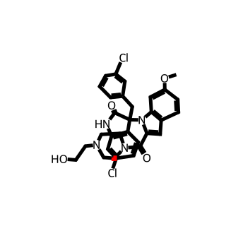 COc1ccc2cc(C(=O)N3CCN(CCO)CC3)n(C3(Cc4cccc(Cl)c4)C(=O)Nc4cc(Cl)ccc43)c2c1